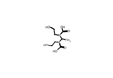 CC(N(CCO)C(=O)O)N(CCO)C(=O)O